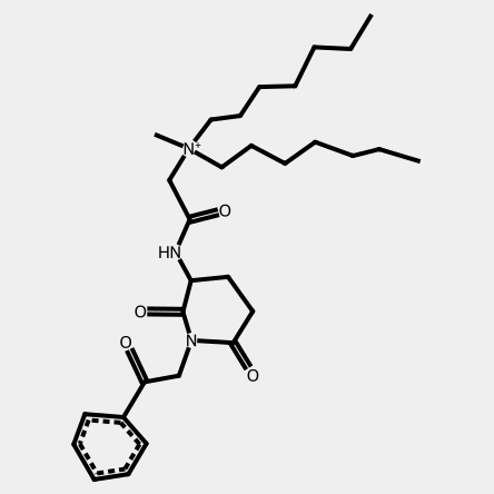 CCCCCCC[N+](C)(CCCCCCC)CC(=O)NC1CCC(=O)N(CC(=O)c2ccccc2)C1=O